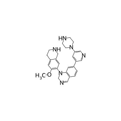 COc1cc2c(cc1N1CN=Cc3ccc(-c4cncc(N5CCNCC5)c4)cc31)CNCC2